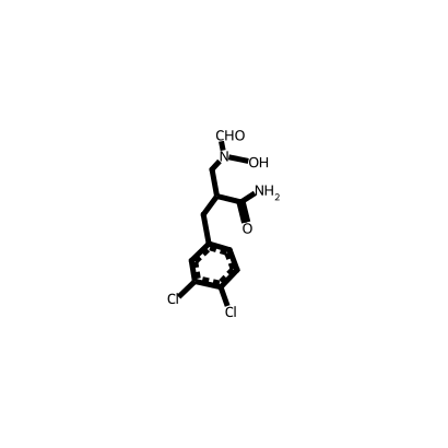 NC(=O)C(Cc1ccc(Cl)c(Cl)c1)CN(O)C=O